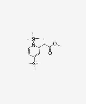 COC(=O)C(C)C1C=C([Si](C)(C)C)C=CN1[Si](C)(C)C